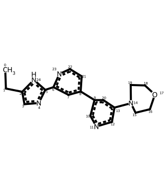 CCc1cnc(-c2cc(-c3cncc(N4CCOCC4)c3)ccn2)[nH]1